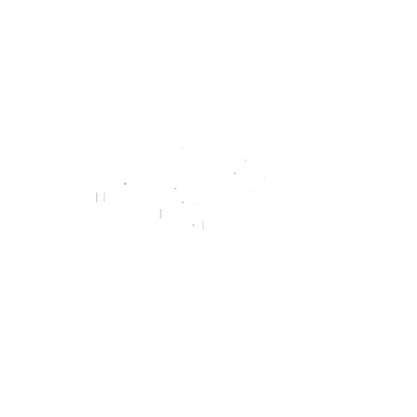 CC(C)c1cc(Cc2cc(F)c(OCC(=O)O)c(F)c2Cl)ccc1O